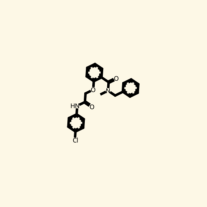 CN(Cc1ccccc1)C(=O)c1ccccc1OCC(=O)Nc1ccc(Cl)cc1